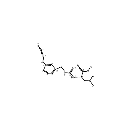 COC(=O)C(CC(C)C)NC(=O)NCc1cccc(CN=C=O)c1